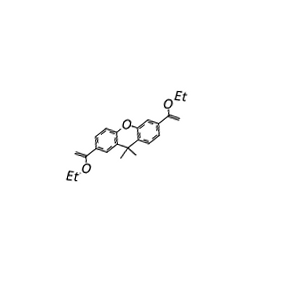 C=C(OCC)c1ccc2c(c1)Oc1ccc(C(=C)OCC)cc1C2(C)C